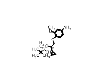 COc1cc(N)ccc1OC[C@H](O[Si](C)(C)C(C)(C)C)C1CC1